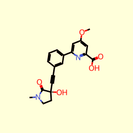 COc1cc(C(=O)O)nc(-c2cccc(C#C[C@]3(O)CCN(C)C3=O)c2)c1